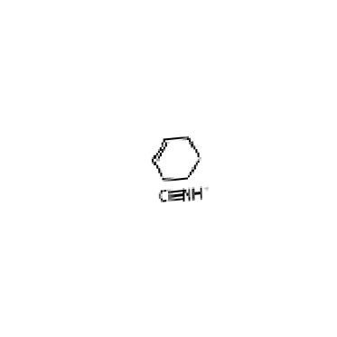 C1=CCCCC1.[C-]#[NH+]